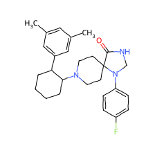 Cc1cc(C)cc(C2CCCCC2N2CCC3(CC2)C(=O)NCN3c2ccc(F)cc2)c1